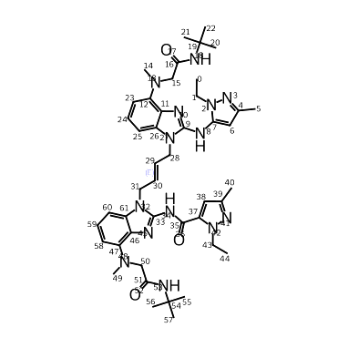 CCn1nc(C)cc1Nc1nc2c(N(C)CC(=O)NC(C)(C)C)cccc2n1C/C=C/Cn1c(NC(=O)c2cc(C)nn2CC)nc2c(N(C)CC(=O)NC(C)(C)C)cccc21